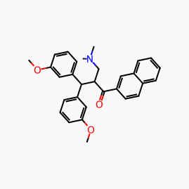 COc1cccc(C(c2cccc(OC)c2)C(CN(C)C)C(=O)c2ccc3ccccc3c2)c1